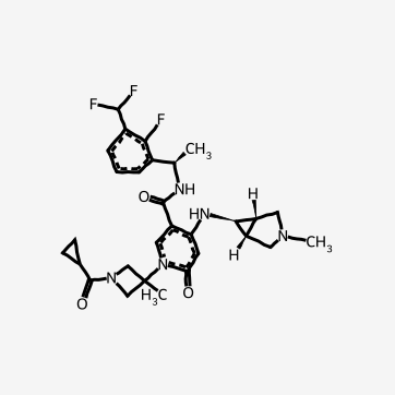 C[C@@H](NC(=O)c1cn(C2(C)CN(C(=O)C3CC3)C2)c(=O)cc1N[C@H]1[C@@H]2CN(C)C[C@@H]21)c1cccc(C(F)F)c1F